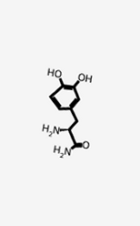 NC(=O)[C@@H](N)Cc1ccc(O)c(O)c1